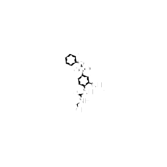 CCNC(=O)Nc1ccc(S(=O)(=O)Oc2ccccc2)cc1N